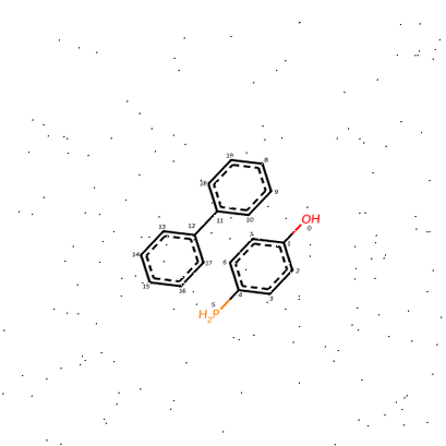 Oc1ccc(P)cc1.c1ccc(-c2ccccc2)cc1